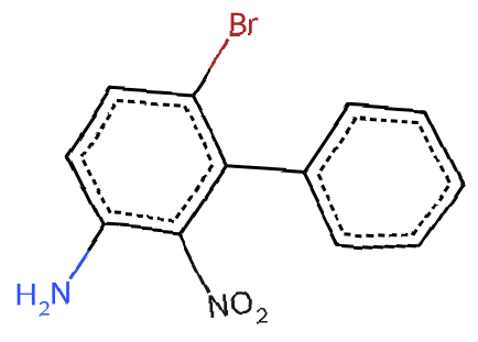 Nc1ccc(Br)c(-c2ccccc2)c1[N+](=O)[O-]